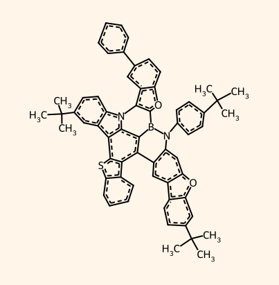 CC(C)(C)c1ccc(N2B3c4oc5ccc(-c6ccccc6)cc5c4-n4c5ccc(C(C)(C)C)cc5c5c6sc7ccccc7c6c(c3c54)-c3cc4c(cc32)oc2cc(C(C)(C)C)ccc24)cc1